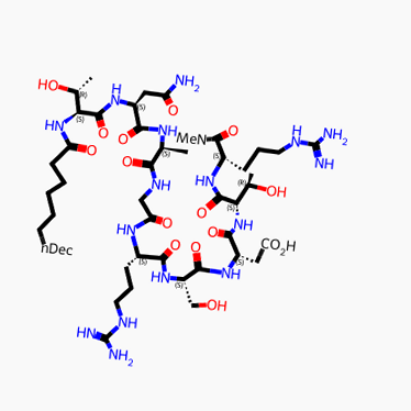 CCCCCCCCCCCCCCCC(=O)N[C@H](C(=O)N[C@@H](CC(N)=O)C(=O)N[C@@H](C)C(=O)NCC(=O)N[C@@H](CCCNC(=N)N)C(=O)N[C@@H](CO)C(=O)N[C@@H](CC(=O)O)C(=O)N[C@H](C(=O)N[C@@H](CCCNC(=N)N)C(=O)NC)[C@@H](C)O)[C@@H](C)O